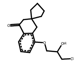 O=C1CC2(CCCC2)Cc2c(OCC(O)CCl)cccc21